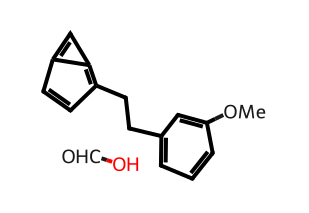 COc1cccc(CCc2ccc3cc2-3)c1.O=CO